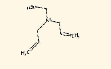 C=CC[N+](CC=C)CCCCC